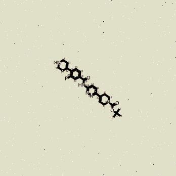 CC(C)(C)OC(=O)N1CC=C(c2ccc(NC(=O)c3ccc(C4=CCNCC4)c(F)c3)nn2)CC1